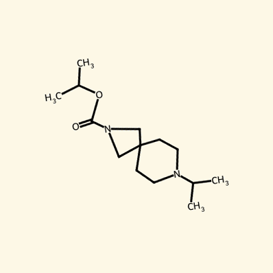 CC(C)OC(=O)N1CC2(CCN(C(C)C)CC2)C1